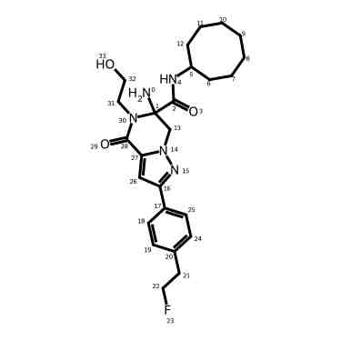 NC1(C(=O)NC2CCCCCCC2)Cn2nc(-c3ccc(CCF)cc3)cc2C(=O)N1CCO